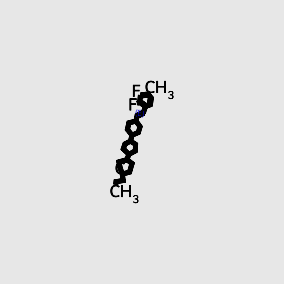 CCCC1CCC(C2CCC(C3CCC(/C=C/c4ccc(C)c(F)c4F)CC3)CC2)CC1